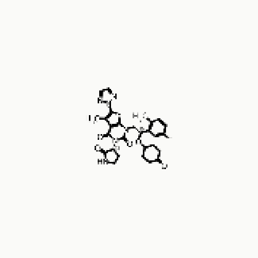 Cc1ccc(F)cc1[C@H](Cn1c(=O)n([C@H]2CCNC2=O)c(=O)c2c(C)c(-n3nccn3)sc21)OC1CCC(=O)CC1